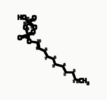 CCCCCCCCCC=COS(=O)(=O)OS(=O)(=O)O